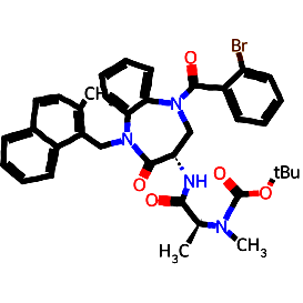 Cc1ccc2ccccc2c1CN1C(=O)[C@@H](NC(=O)[C@H](C)N(C)C(=O)OC(C)(C)C)CN(C(=O)c2ccccc2Br)c2ccccc21